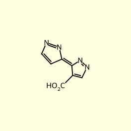 O=C(O)C1=CN=NC1=C1C=CN=N1